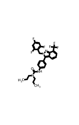 CCCN(CCC)C(=O)Nc1ccc(-c2c3cccc(C(F)(F)F)c3nn2Cc2c(F)cc(F)cc2F)cc1